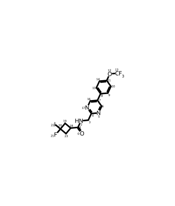 O=C(NCc1ncc(-c2ccc(OC(F)(F)F)cc2)cn1)C1CC(F)(I)C1